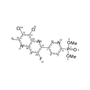 COP(=O)(OC)c1ccc(-c2nc3c(Cl)c(Cl)c(C)nc3cc2F)cn1